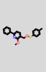 COc1nc(-c2ccccc2)ccc1COSc1ccc(C)cc1